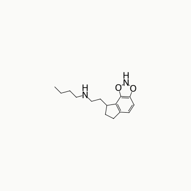 CCCCNCCC1CCc2ccc3c(c21)ONO3